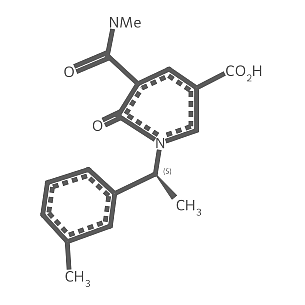 CNC(=O)c1cc(C(=O)O)cn([C@@H](C)c2cccc(C)c2)c1=O